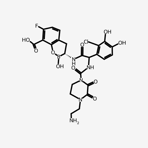 NCCN1CCN(C(=O)NC(C(=O)N[C@H]2Cc3ccc(F)c(C(=O)O)c3OB2O)c2ccc(O)c(O)c2Cl)C(=O)C1=O